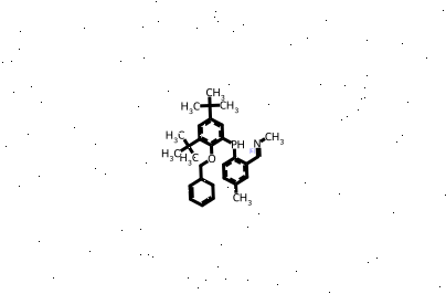 C/N=C/c1cc(C)ccc1Pc1cc(C(C)(C)C)cc(C(C)(C)C)c1OCC1C=CC=CC1